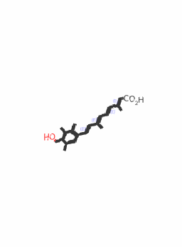 CC(/C=C/c1cc(C)c(CO)c(C)c1C)=C\C=C\C(C)=C\C(=O)O